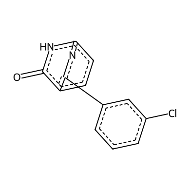 O=c1[nH]c2ccc1c(-c1cccc(Cl)c1)n2